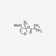 C=C(C)C(=O)OC1(C)COCSC1OC